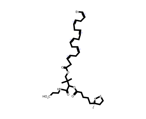 CC/C=C\C/C=C\C/C=C\C/C=C\C/C=C\C/C=C\CC(=O)OCC(C)(C)C(OC(=O)CCCC[C@]1(C)CCSS1)C(=O)NCCC(=O)O